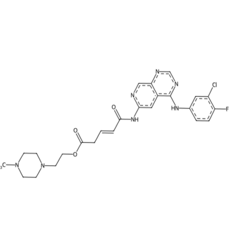 CN1CCN(CCOC(=O)CC=CC(=O)Nc2cc3c(Nc4ccc(F)c(Cl)c4)ncnc3cn2)CC1